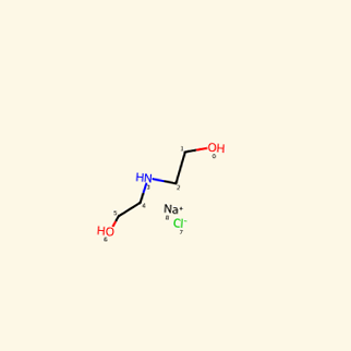 OCCNCCO.[Cl-].[Na+]